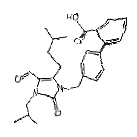 CC(C)CCc1c(C=O)n(CC(C)C)c(=O)n1Cc1ccc(-c2ccccc2C(=O)O)cc1